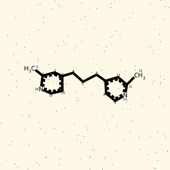 Cc1cc(CCCc2ccnc(C)c2)ccn1